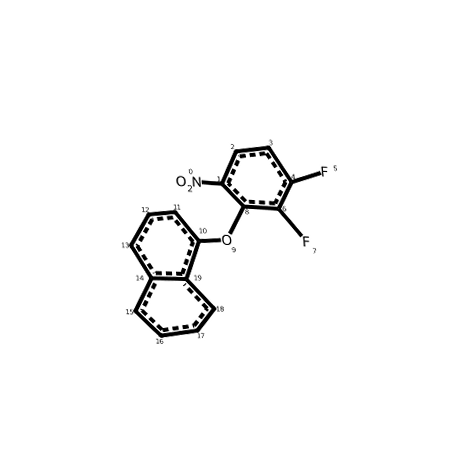 O=[N+]([O-])c1ccc(F)c(F)c1Oc1cccc2ccccc12